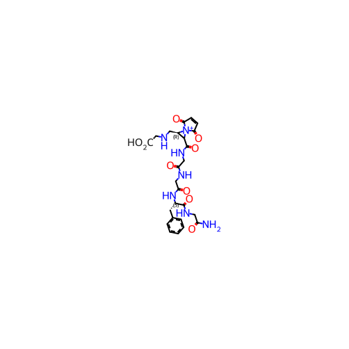 NC(=O)CNC(=O)[C@H](Cc1ccccc1)NC(=O)CNC(=O)CNC(=O)C1[C@@H](CNCC(=O)O)[N+]12C(=O)C=CC2=O